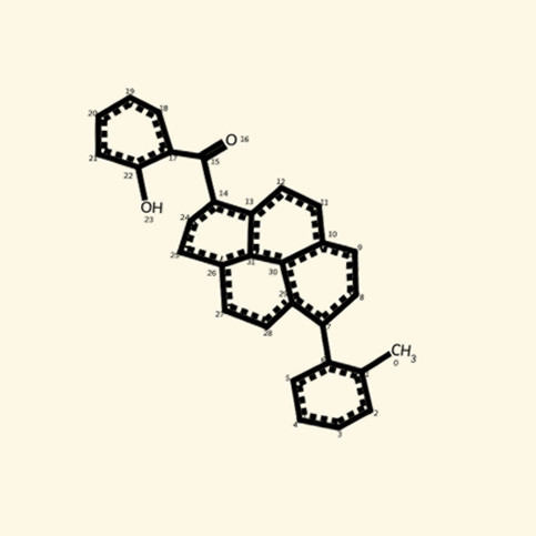 Cc1ccccc1-c1ccc2ccc3c(C(=O)c4ccccc4O)ccc4ccc1c2c43